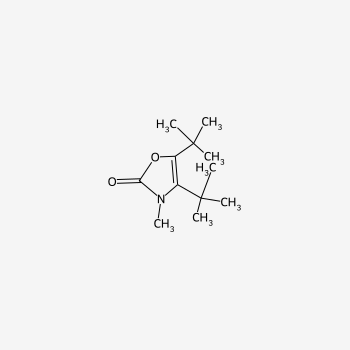 Cn1c(C(C)(C)C)c(C(C)(C)C)oc1=O